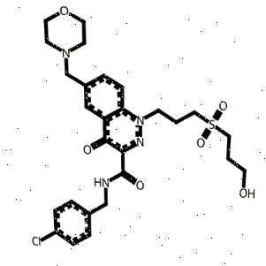 O=C(NCc1ccc(Cl)cc1)c1nn(CCCS(=O)(=O)CCCO)c2ccc(CN3CCOCC3)cc2c1=O